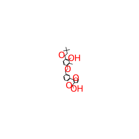 Cc1c(OCc2cccc(-c3occc3C(=O)O)c2)ccc(C(=O)CC(C)(C)C)c1O